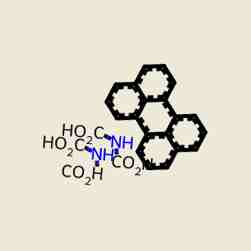 O=C(O)NC(=O)O.O=C(O)NC(=O)O.c1cc2cccc3c4cccc5cccc(c(c1)c23)c54